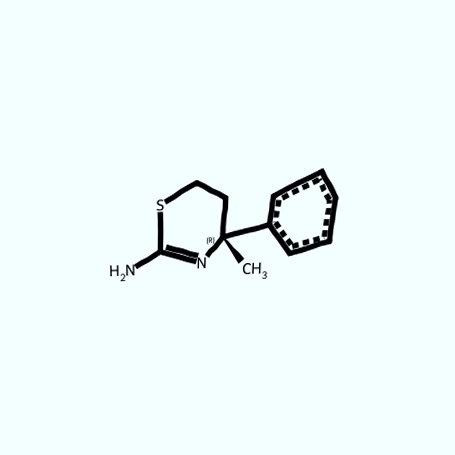 C[C@]1(c2ccccc2)CCSC(N)=N1